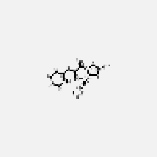 Cl.Cl.N#C[C@@H]1C[C@H](F)CN1C(=O)C(N)CC1CCCCN1